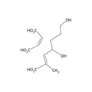 CC(=CC(O)CCCO)C(=O)O.O=C(O)/C=C\C(=O)O